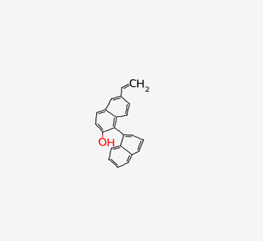 C=Cc1ccc2c(-c3cccc4ccccc34)c(O)ccc2c1